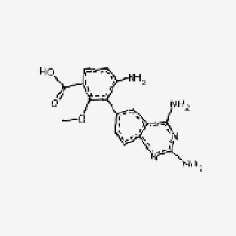 COc1c(C(=O)O)ccc(N)c1-c1ccc2nc(N)nc(N)c2c1